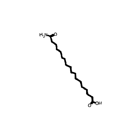 NC(=O)CCCCCCCCCCCCCCCCC(=O)O